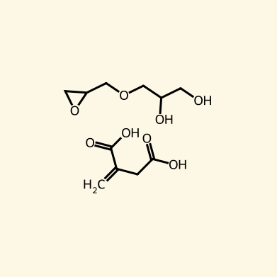 C=C(CC(=O)O)C(=O)O.OCC(O)COCC1CO1